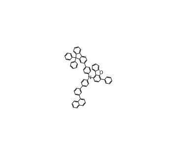 c1ccc(-c2ccc(N(c3ccc(-c4cccc(-c5cccc6ccccc56)c4)cc3)c3ccc(-c4ccc5c(c4)C(c4ccccc4)(c4ccccc4)c4ccccc4-5)cc3)c3c2oc2ccccc23)cc1